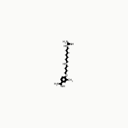 Cc1cc(C(=N)N)ccc1OCCCCNCCCCCCCNC(=N)N